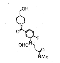 CNC(=O)CCN(C=O)c1cc(C(=O)N2CCC(CO)CC2)ccc1F